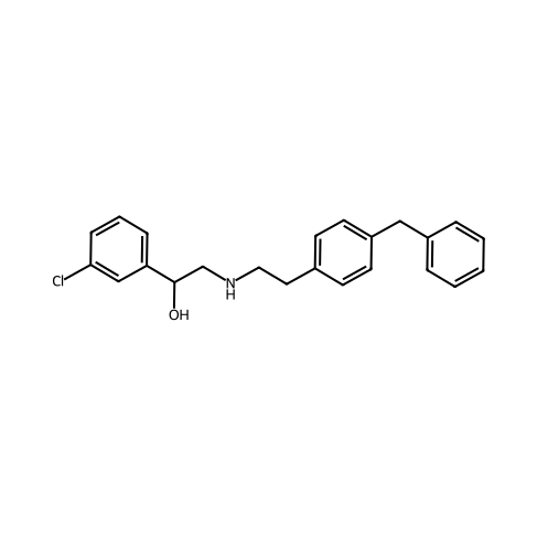 OC(CNCCc1ccc(Cc2ccccc2)cc1)c1cccc(Cl)c1